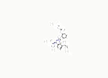 CCOC(=O)Cc1ccccc1O/C(C)=C/C(=C(\C)O)c1cncc(CN)c1